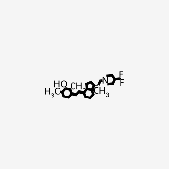 C=C1/C(=C\C=C2/CCCC3(C)C2CC[C@@H]3CCN2CCC(C(F)F)CC2)CCC(C)C1O